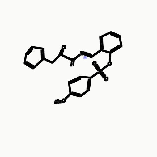 COc1ccc(S(=O)(=O)Oc2ccccc2/C=N/NC(=O)Cc2ccccc2)cc1